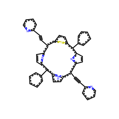 C(#Cc1c2nc(c(-c3ccccc3)c3ccc(s3)c(C#Cc3ccccn3)c3nc(c(-c4ccccc4)c4ccc1[nH]4)C=C3)C=C2)c1ccccn1